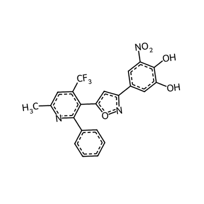 Cc1cc(C(F)(F)F)c(-c2cc(-c3cc(O)c(O)c([N+](=O)[O-])c3)no2)c(-c2ccccc2)n1